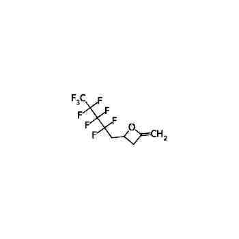 C=C1CC(CC(F)(F)C(F)(F)C(F)(F)C(F)(F)F)O1